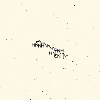 CN(C)CCN/C(=N/CCNCc1cc[nH]n1)NC#N